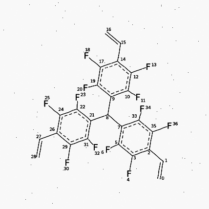 C=Cc1c(F)c(F)c(C(c2c(F)c(F)c(C=C)c(F)c2F)c2c(F)c(F)c(C=C)c(F)c2F)c(F)c1F